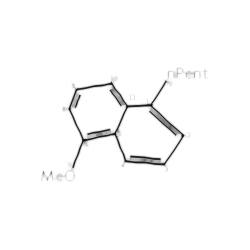 CCCCCc1cccc2c(OC)cccc12